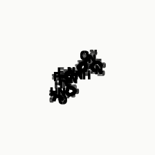 CC(C)C(=O)N[C@H]1CCCC[C@H]1Nc1nc(Nc2ccc(C(=O)N(C)C3CCN(C)CC3)cc2)ncc1C(F)(F)F